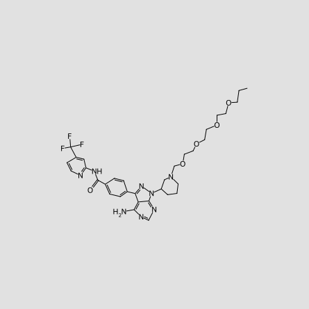 CCCOCCOCCOCCOCN1CCCC(n2nc(-c3ccc(C(=O)Nc4cc(C(F)(F)F)ccn4)cc3)c3c(N)ncnc32)C1